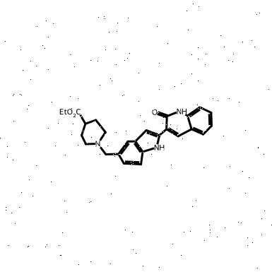 CCOC(=O)C1CCN(Cc2ccc3[nH]c(-c4cc5ccccc5[nH]c4=O)cc3c2)CC1